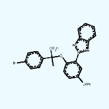 COc1ccc(OC(C)(C(=O)O)c2ccc(Br)cc2)c(-n2nc3ccccc3n2)c1